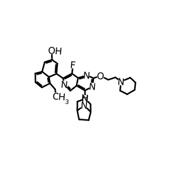 CCc1cccc2cc(O)cc(-c3ncc4c(N5CC6CCC(C5)N6)nc(OCCN5CCCCC5)nc4c3F)c12